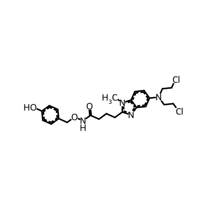 Cn1c(CCCC(=O)NOCc2ccc(O)cc2)nc2cc(N(CCCl)CCCl)ccc21